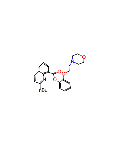 CCCCc1ccc2cccc(C(=O)Oc3ccccc3OCCN3CCOCC3)c2n1